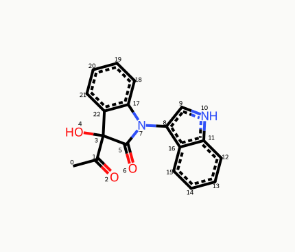 CC(=O)C1(O)C(=O)N(c2c[nH]c3ccccc23)c2ccccc21